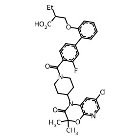 CCC(COc1ccccc1-c1ccc(C(=O)N2CCC(N3C(=O)C(C)(C)Oc4ncc(Cl)cc43)CC2)c(F)c1)C(=O)O